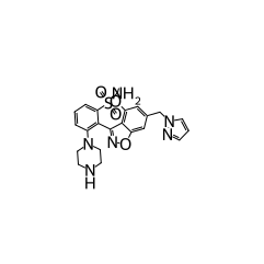 COc1cc(Cn2cccn2)cc2onc(-c3c(N4CCNCC4)cccc3S(N)(=O)=O)c12